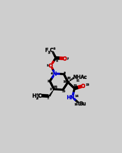 C=C[C@@H]1CN(OC(=O)C(F)(F)F)C[C@@](NC(C)=O)(C(=O)NC(C)(C)C)C1